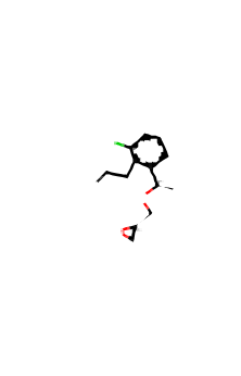 CCOC(=O)CCc1c(Cl)cccc1[C@@H](C)OC[C@H]1CO1